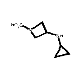 O=C(O)N1CC(NC2CC2)C1